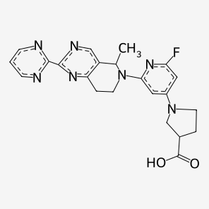 CC1c2cnc(-c3ncccn3)nc2CCN1c1cc(N2CCC(C(=O)O)C2)cc(F)n1